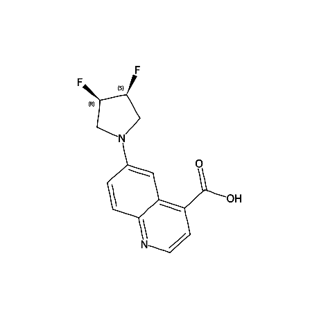 O=C(O)c1ccnc2ccc(N3C[C@@H](F)[C@@H](F)C3)cc12